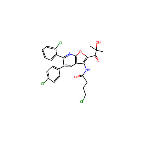 CC(C)(O)C(=O)c1oc2nc(-c3ccccc3Cl)c(-c3ccc(Cl)cc3)cc2c1NC(=O)CCCCl